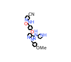 COc1ccc(Cn2nc(NC3CCCNC3)c3c(Oc4ccc(C(=O)Nc5cc(C#N)ccn5)cc4)ccnc32)cc1